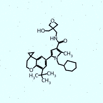 Cc1c(C(=O)NCC2(CO)COC2)cc(-c2cc(C(C)(C)C)c3c(c2)C2(CCO3)CC2)n1CC1CCCCC1